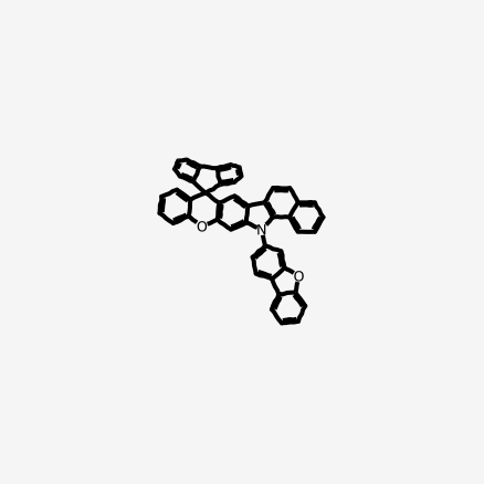 c1ccc2c(c1)Oc1cc3c(cc1C21c2ccccc2-c2ccccc21)c1ccc2ccccc2c1n3-c1ccc2c(c1)oc1ccccc12